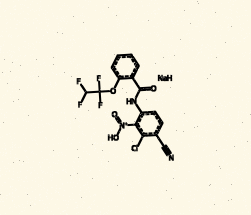 N#Cc1ccc(NC(=O)c2ccccc2OC(F)(F)C(F)F)c([N+](=O)O)c1Cl.[NaH]